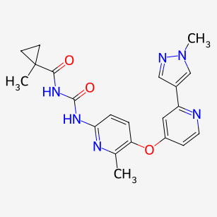 Cc1nc(NC(=O)NC(=O)C2(C)CC2)ccc1Oc1ccnc(-c2cnn(C)c2)c1